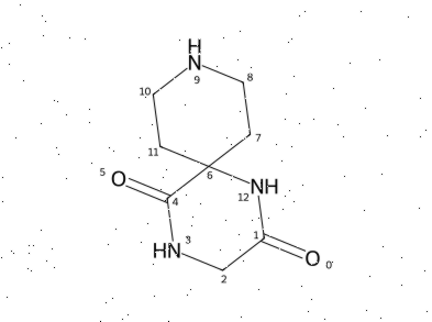 O=C1CNC(=O)C2(CCNCC2)N1